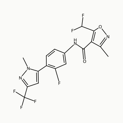 Cc1noc(C(F)F)c1C(=O)Nc1ccc(-c2cc(C(F)(F)F)nn2C)c(F)c1